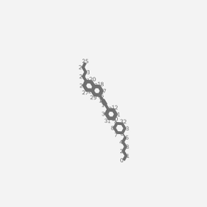 CCCCCC[C@H]1CC[C@H](c2ccc(C#Cc3ccc4cc(CCCC)ccc4c3)cc2)CC1